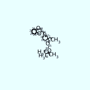 CCC1(COCCOC(C)(C)C)CCCN(CC2COc3ccccc3O2)C1